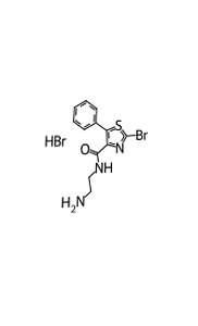 Br.NCCNC(=O)c1nc(Br)sc1-c1ccccc1